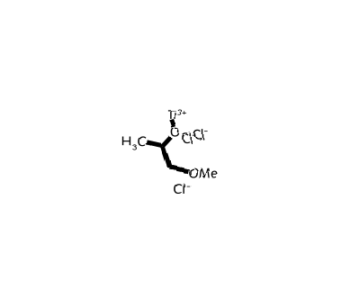 COCC(C)[O][Ti+3].[Cl-].[Cl-].[Cl-]